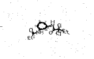 CCC(=O)Nc1cccc(NC(=O)C(Cl)(Cl)CC)c1